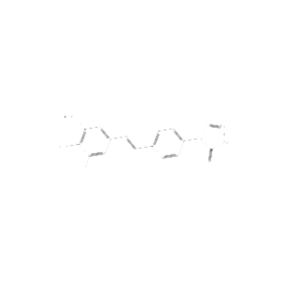 O=Cc1cc(/C=C/c2ccc(-n3cn[nH]c3=S)cc2)cc(F)c1O